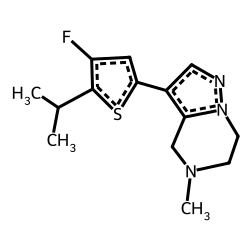 CC(C)c1sc(-c2cnn3c2CN(C)CC3)cc1F